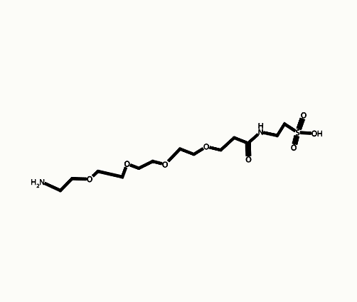 NCCOCCOCCOCCOCCC(=O)NCCS(=O)(=O)O